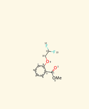 COC(=O)c1ccccc1OCC(F)F